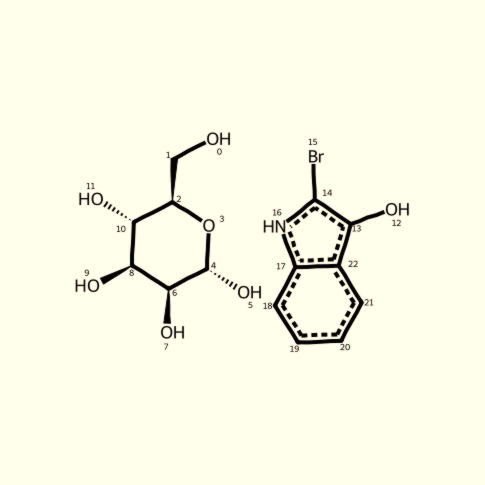 OC[C@H]1O[C@H](O)[C@@H](O)[C@@H](O)[C@@H]1O.Oc1c(Br)[nH]c2ccccc12